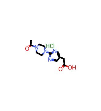 CC(=O)N1CCN(c2ncc(CC(=O)O)cn2)CC1.Cl